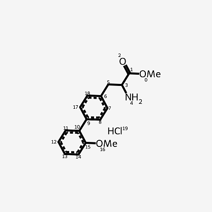 COC(=O)C(N)Cc1ccc(-c2ccccc2OC)cc1.Cl